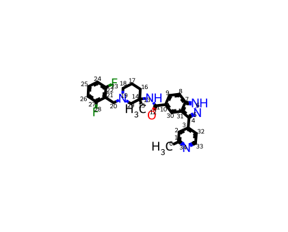 Cc1cc(-c2n[nH]c3ccc(C(=O)NC4(C)CCCN(Cc5c(F)cccc5F)C4)cc23)ccn1